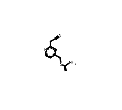 C=C(N)SCc1ccnc(CC#N)c1